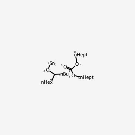 CCCCCCC(CCCC)[O][Sn].CCCCCCCOC(=O)OCCCCCCC